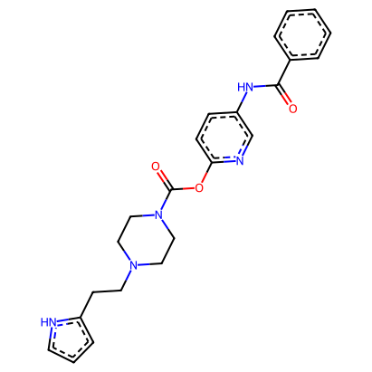 O=C(Nc1ccc(OC(=O)N2CCN(CCc3ccc[nH]3)CC2)nc1)c1ccccc1